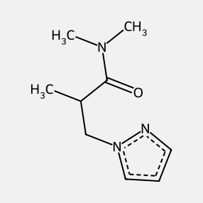 CC(Cn1cccn1)C(=O)N(C)C